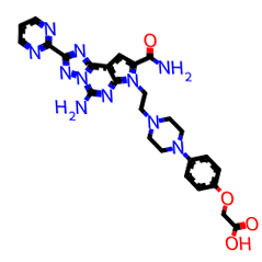 NC(=O)c1cc2c(nc(N)n3nc(-c4ncccn4)nc23)n1CCN1CCN(c2ccc(OCC(=O)O)cc2)CC1